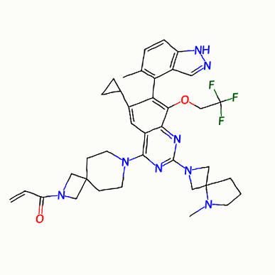 C=CC(=O)N1CC2(CCN(c3nc(N4CC5(CCCN5C)C4)nc4c(OCC(F)(F)F)c(-c5c(C)ccc6[nH]ncc56)c(C5CC5)cc34)CC2)C1